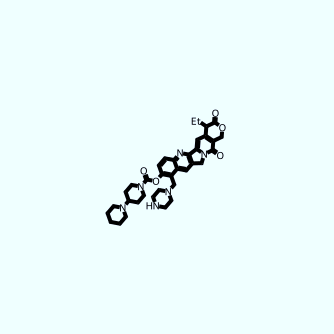 CCC1C(=O)OCc2c1cc1n(c2=O)Cc2cc3c(CN4CCNCC4)c(OC(=O)N4CCC(N5CCCCC5)CC4)ccc3nc2-1